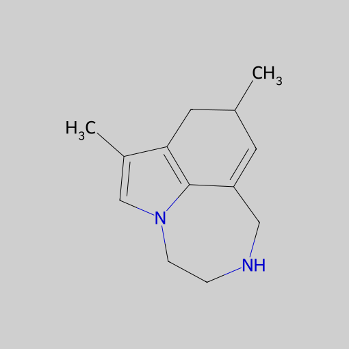 Cc1cn2c3c1CC(C)C=C3CNCC2